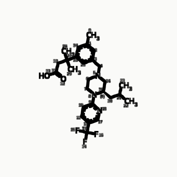 Cc1cc(CN2CCN(c3ccc(C(F)(F)F)cn3)[C@H](CC(C)C)C2)cc(C(C)(C)CC(=O)O)c1